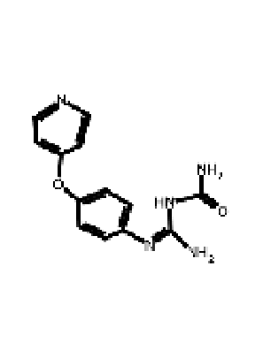 NC(=O)N/C(N)=N\c1ccc(Oc2ccncc2)cc1